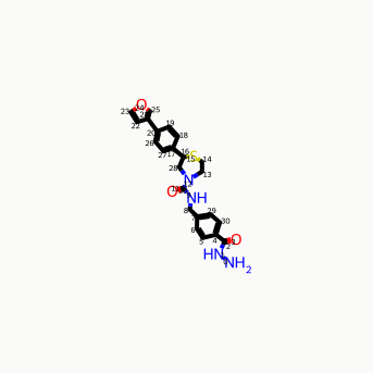 NNC(=O)c1ccc(CNC(=O)N2CCSC(c3ccc(-c4ccoc4)cc3)C2)cc1